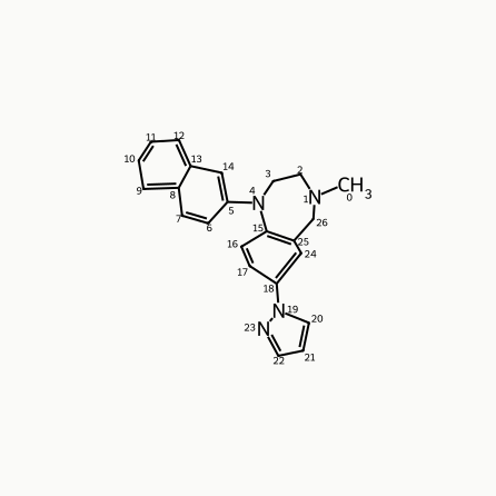 CN1CCN(c2ccc3ccccc3c2)c2ccc(-n3cccn3)cc2C1